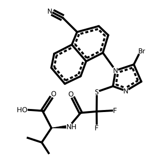 CC(C)[C@H](NC(=O)C(F)(F)Sc1ncc(Br)n1-c1ccc(C#N)c2ccccc12)C(=O)O